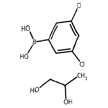 CC(O)CO.OB(O)c1cc(Cl)cc(Cl)c1